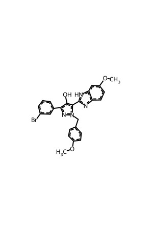 COc1ccc(Cn2nc(-c3cccc(Br)c3)c(O)c2-c2nc3ccc(OC)cc3[nH]2)cc1